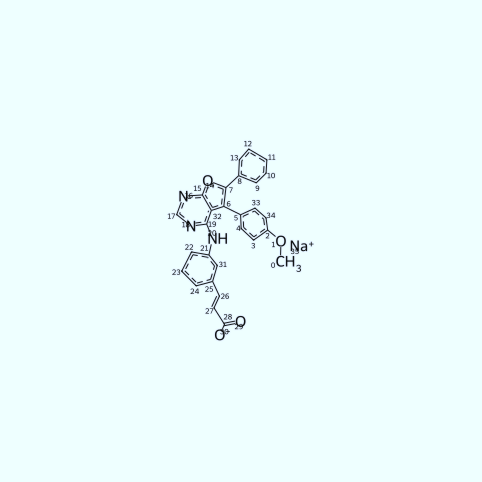 COc1ccc(-c2c(-c3ccccc3)oc3ncnc(Nc4cccc(/C=C/C(=O)[O-])c4)c23)cc1.[Na+]